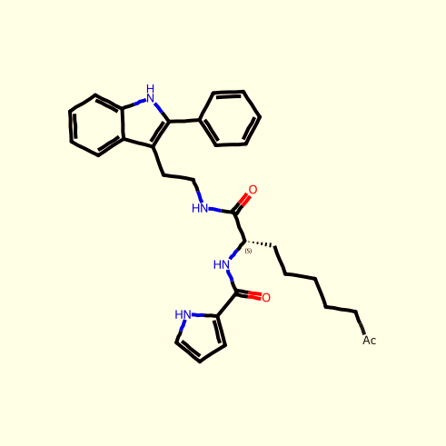 CC(=O)CCCCC[C@H](NC(=O)c1ccc[nH]1)C(=O)NCCc1c(-c2ccccc2)[nH]c2ccccc12